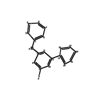 Ic1cc(Oc2ccccc2)cc(-c2ccccc2)c1